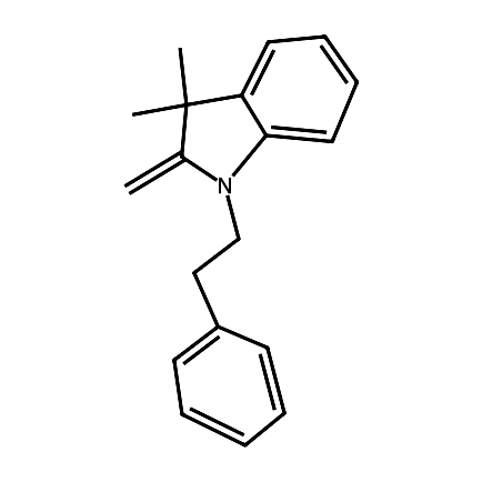 C=C1N(CCc2ccccc2)c2ccccc2C1(C)C